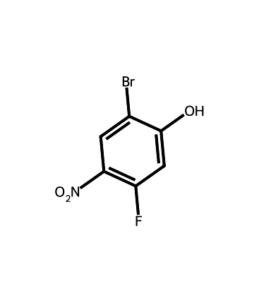 O=[N+]([O-])c1cc(Br)c(O)cc1F